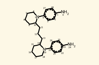 Nc1ccc(N2CCCCC2CCCC2CCCCN2c2ccc(N)cc2)cc1